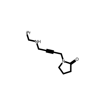 CC(C)CNCC#CCN1CCCC1=O